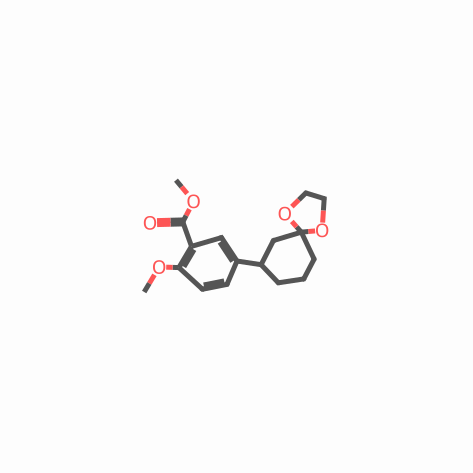 COC(=O)c1cc(C2CCCC3(C2)OCCO3)ccc1OC